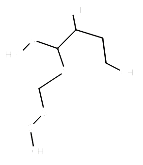 CCCC(C)C(SC)SCSSC